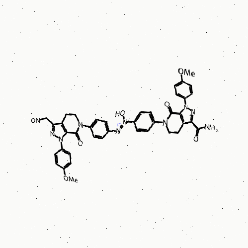 COc1ccc(-n2nc(CN=O)c3c2C(=O)N(c2ccc(/N=[N+](\O)c4ccc(N5CCc6c(C(N)=O)nn(-c7ccc(OC)cc7)c6C5=O)cc4)cc2)CC3)cc1